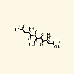 CC(C)C[C@H](N)C(=O)C(Cl)C(=O)C(Cl)C(=O)[C@@H](N)CC(C)C.Cl